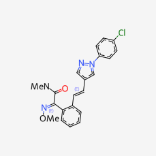 CNC(=O)/C(=N/OC)c1ccccc1/C=C/c1cnn(-c2ccc(Cl)cc2)c1